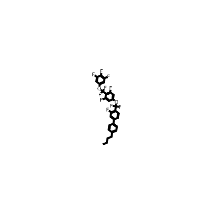 CCCCc1ccc(-c2ccc(C(F)(F)Oc3cc(F)c(C(F)(F)Oc4cc(F)c(F)c(F)c4)c(F)c3)c(F)c2)cc1